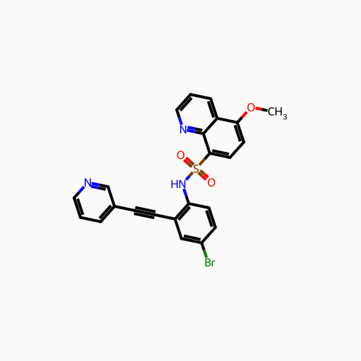 COc1ccc(S(=O)(=O)Nc2ccc(Br)cc2C#Cc2cccnc2)c2ncccc12